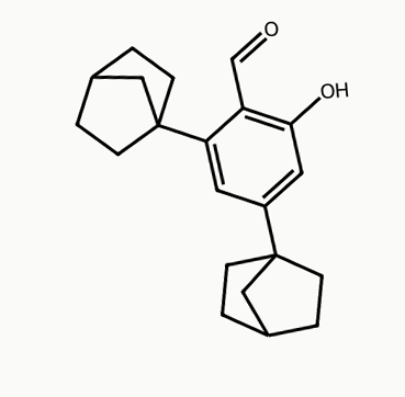 O=Cc1c(O)cc(C23CCC(CC2)C3)cc1C12CCC(CC1)C2